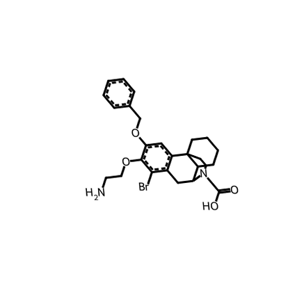 NCCOc1c(OCc2ccccc2)cc2c(c1Br)CC1C3CCCCC23CCN1C(=O)O